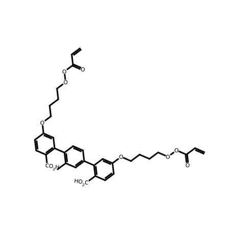 C=CC(=O)OOCCCCOc1ccc(C(=O)O)c(-c2ccc(-c3cc(OCCCCOOC(=O)C=C)ccc3C(=O)O)c(C)c2)c1